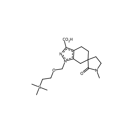 CN1CCC2(CCc3c(C(=O)O)nn(COCC[Si](C)(C)C)c3C2)C1=O